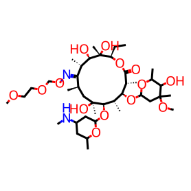 CC[C@H]1OC(=O)[C@H](C)[C@@H](OC2CC(C)(OC)C(O)C(C)O2)[C@H](C)[C@@H](OC2CC(NC)CC(C)O2)[C@@](C)(O)C[C@@H](C)/C(=N\OCOCCOC)[C@H](C)[C@@H](O)[C@]1(C)O